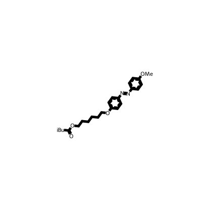 CCC(C)C(=O)OCCCCCCOc1ccc(/N=N/c2ccc(OC)cc2)cc1